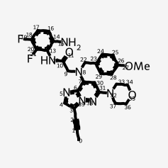 CC#Cc1cnc2c(N(CC(=O)Nc3c(N)ccc(F)c3F)Cc3ccc(OC)cc3)cc(N3CCOCC3)nn12